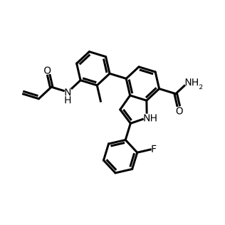 C=CC(=O)Nc1cccc(-c2ccc(C(N)=O)c3[nH]c(-c4ccccc4F)cc23)c1C